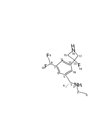 CCN[C@H](C)c1cc(C(F)F)cc(C2(F)CNC2)c1